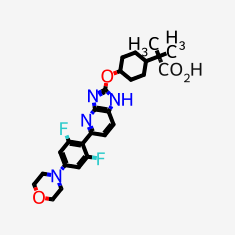 CC(C)(C(=O)O)C1CCC(Oc2nc3nc(-c4c(F)cc(N5CCOCC5)cc4F)ccc3[nH]2)CC1